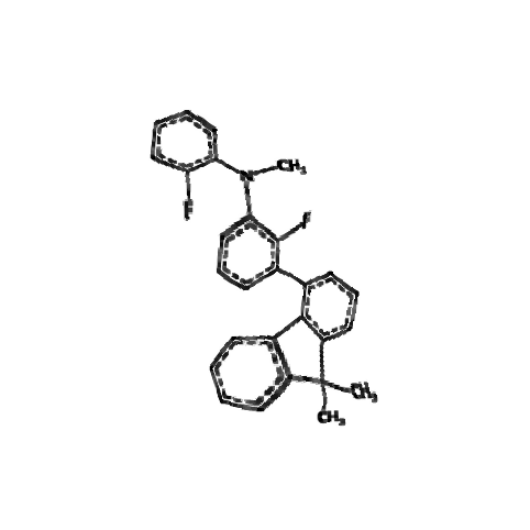 CN(c1ccccc1F)c1cccc(-c2cccc3c2-c2ccccc2C3(C)C)c1F